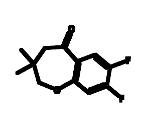 CC1(C)COc2cc(F)c(F)cc2C(=O)C1